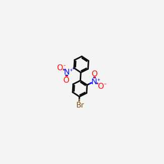 O=[N+]([O-])c1ccccc1-c1ccc(Br)cc1[N+](=O)[O-]